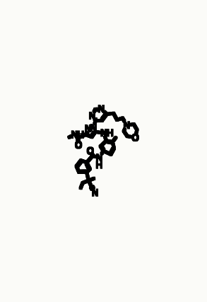 CCC(C)(C#N)c1cccc(C(=O)Nc2ccc(C)c(Nc3cc(C(=O)NC)nn3-c3cc(CCCN4CCOCC4)ncn3)c2)c1